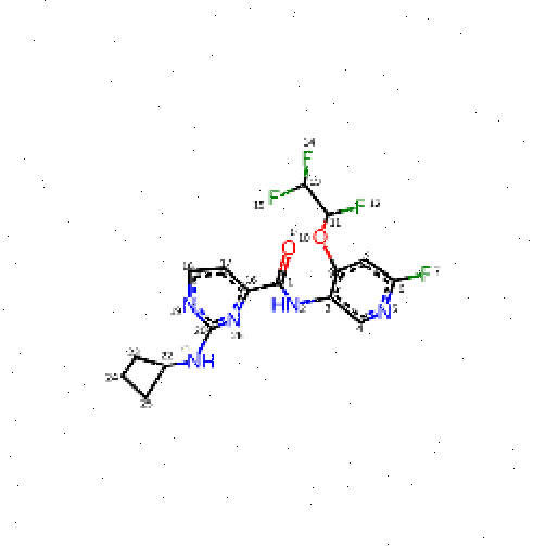 O=C(Nc1cnc(F)cc1OC(F)C(F)F)c1ccnc(NC2CCC2)n1